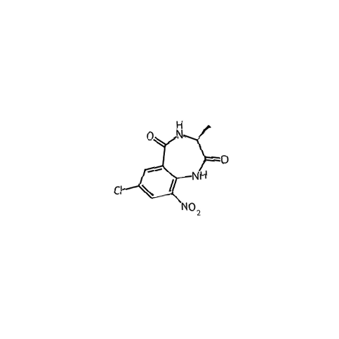 C[C@@H]1NC(=O)c2cc(Cl)cc([N+](=O)[O-])c2NC1=O